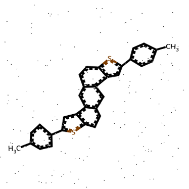 Cc1ccc(-c2cc3c(ccc4cc5c(ccc6sc(-c7ccc(C)cc7)cc65)cc43)s2)cc1